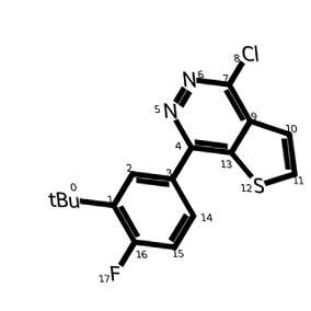 CC(C)(C)c1cc(-c2nnc(Cl)c3ccsc23)ccc1F